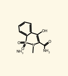 CN1C(C(N)=O)=C(O)c2ccccc2S1(=O)=O.N